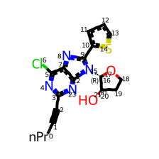 CCCC#Cc1nc(Cl)c2nc(-c3cccs3)n([C@@H]3OCC[C@H]3O)c2n1